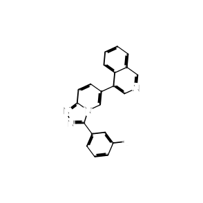 Clc1cccc(-c2nnc3ccc(-c4cncc5ccccc45)cn23)c1